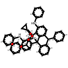 c1ccc(Nc2ccc3c4c2C(=C2CC2)c2c(Nc5ccccc5)ccc5c2C4(c2ccccc2C3c2ccccc2)[n+]2ccccc2C5c2ccccc2)cc1